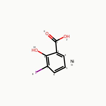 O=C(O)c1cccc(I)c1O.[Ni]